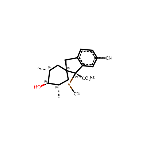 CCOC(=O)[C@]1(SC#N)c2cc(C#N)ccc2C[C@@]12C[C@@H](C)[C@H](O)[C@@H](C)C2